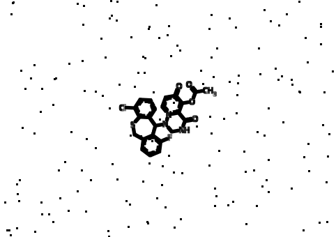 CC(=O)Oc1c2n(ccc1=O)N(C1c3cccc(Cl)c3SCc3cccc(F)c31)CNC2=O